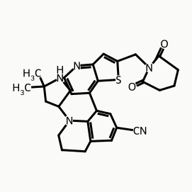 CC1(C)CC(N2CCCc3cc(C#N)cc(-c4ccnc5cc(CN6C(=O)CCCC6=O)sc45)c32)CN1